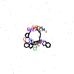 CO[C@@]1(CN2CCc3ccccc3C2)/C=C/C[C@H](C)[C@@H](C)S(=O)(=O)NC(=O)c2ccc3c(c2)N(C[C@@H]2CC[C@H]21)C[C@@]1(CCCc2cc(Cl)ccc21)CO3